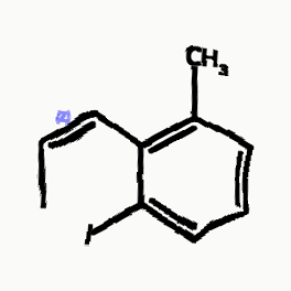 Cc1cccc(I)c1/C=C\I